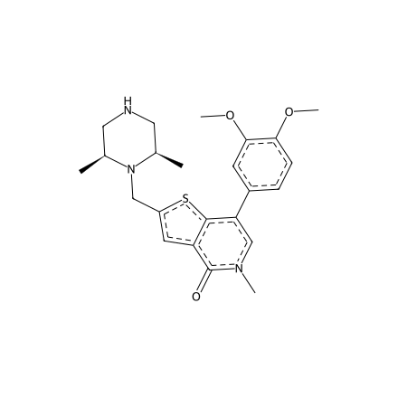 COc1ccc(-c2cn(C)c(=O)c3cc(CN4[C@H](C)CNC[C@@H]4C)sc23)cc1OC